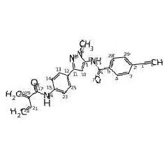 C#Cc1ccc(C(=O)Nc2cc(-c3ccc(NC(=O)C(=C)C=C)cc3)nn2C)cc1